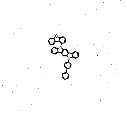 c1ccc(-c2ccc(-n3c4ccccc4c4cc5c(cc43)c3ccccc3n5-c3cccc4oc5ccccc5c34)cc2)cc1